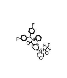 O=C(NC(c1ccc(F)cc1)c1ccc(F)cc1)[C@@H]1CC[C@@H]([N+]2(OC(=O)C(F)(F)F)CCOCC2)C[C@H]1c1ccccc1